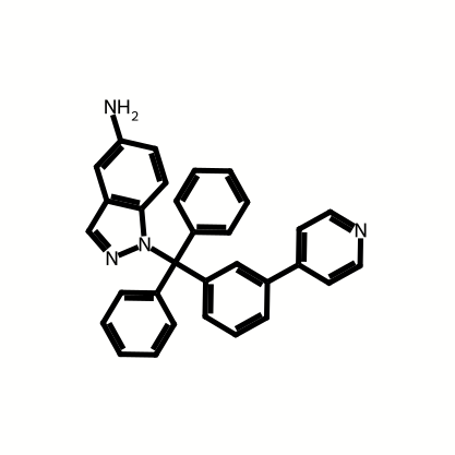 Nc1ccc2c(cnn2C(c2ccccc2)(c2ccccc2)c2cccc(-c3ccncc3)c2)c1